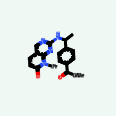 COC(=O)c1ccc(C(C)Nc2ncc3ccc(=O)n(C(C)C)c3n2)cc1